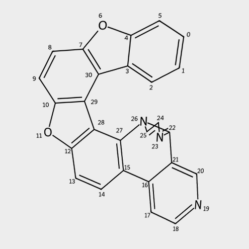 c1ccc2c(c1)oc1ccc3oc4ccc5c6ccncc6c6nccn6c5c4c3c12